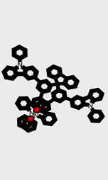 c1ccc(-n2c3ccccc3c3cc(-c4cc(-c5ccc6c(c5)c5ccccc5n6-c5ccccc5)cc(C5(c6cc(-c7ccc8c(c7)c7ccccc7n8-c7ccccc7)cc(-c7ccc8c(c7)c7ccccc7n8-c7ccccc7)c6)c6ccccc6-c6ccccc65)c4)ccc32)cc1